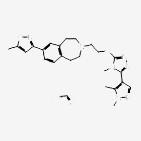 Cc1cc(-c2ccc3c(c2)CCN(CCSc2nnc(-c4cnn(C)c4C)n2C)CC3)no1.O=CO